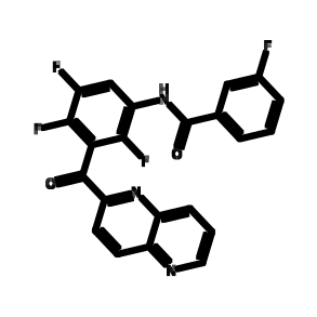 O=C(Nc1cc(F)c(F)c(C(=O)c2ccc3ncccc3n2)c1F)c1cccc(F)c1